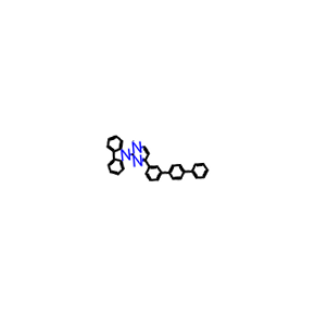 CN1C=CC(c2cccc(-c3ccc(-c4ccccc4)cc3)c2)=NC1n1c2ccccc2c2ccccc21